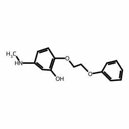 CNc1ccc(OCCOc2ccccc2)c(O)c1